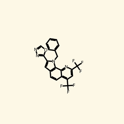 FC(F)(F)c1cc(C(F)(F)F)c2ccc3cc(-c4nnco4)n(Cc4ccccc4)c3c2n1